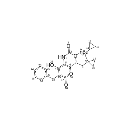 CCCCOC(=O)Nc1c(CCC2(CC3CC3)CC2)oc(=O)c(Cc2ccccc2)c1O